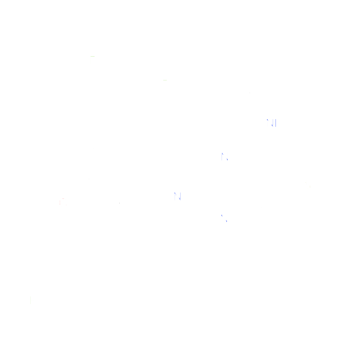 O=C(c1ccc(F)cc1)C1(c2ccc(F)cc2)CCN(c2nc3c(c(Nc4cccc(F)c4)n2)SCC3)CC1